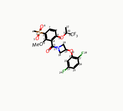 COc1c(S(C)(=O)=O)ccc(O[C@@H](C)C(F)(F)F)c1C(=O)N1CC(Oc2cc(F)ccc2F)C1